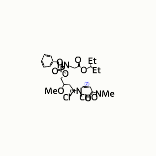 CCC(CC)OC(=O)CNP(=O)(OCC(C[C@H](Cl)N(C=O)/C=C\C(=O)NC)OC)Oc1ccccc1